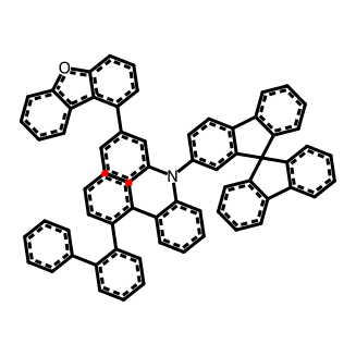 c1ccc(-c2ccccc2-c2ccccc2-c2ccccc2N(c2cccc(-c3cccc4oc5ccccc5c34)c2)c2ccc3c(c2)C2(c4ccccc4-c4ccccc42)c2ccccc2-3)cc1